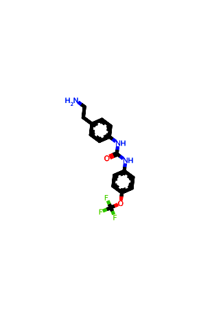 NCCc1ccc(NC(=O)Nc2ccc(OC(F)(F)F)cc2)cc1